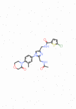 CC(=O)NCc1nc(CNC(=O)c2ccc(Cl)s2)cn1-c1ccc(N2CCOCC2=O)c(C)c1